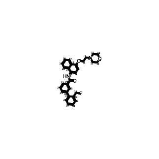 O=C(Nc1ccc(OCCN2CCOCC2)c2ccccc12)c1cccc(-c2ccccc2CF)c1